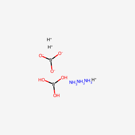 N.N.N.OB(O)O.[H+].[H+].[H+].[O-]B([O-])[O-]